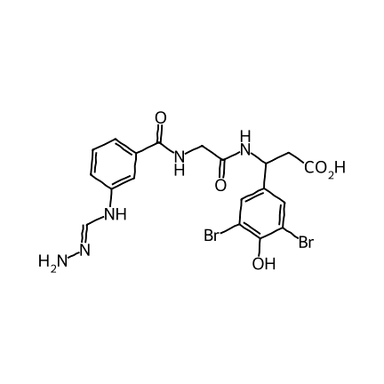 NN=CNc1cccc(C(=O)NCC(=O)NC(CC(=O)O)c2cc(Br)c(O)c(Br)c2)c1